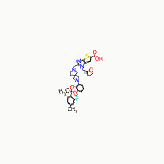 Cc1ccc(C2(C)Oc3cccc(N4CC5(CCN(Cc6nc7sc(C(=O)O)cc7n6C[C@@H]6CCO6)C5)C4)c3O2)c(F)c1